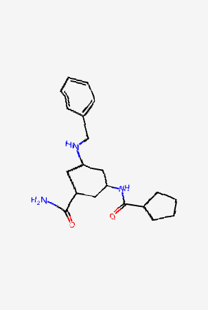 NC(=O)C1CC(NCc2ccccc2)CC(NC(=O)C2CCCC2)C1